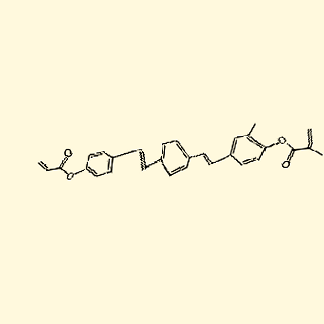 C=CC(=O)Oc1ccc(/C=C/c2ccc(/C=C/c3ccc(OC(=O)C(=C)C)c(C)c3)cc2)cc1